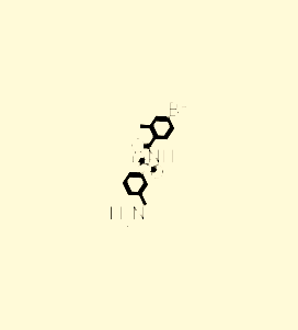 Cc1cc(Br)ccc1C(=O)NS(=O)(=O)c1cccc(CN)c1